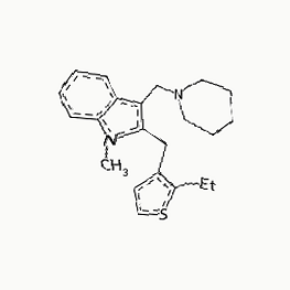 CCc1sccc1Cc1c(CN2CCCCC2)c2ccccc2n1C